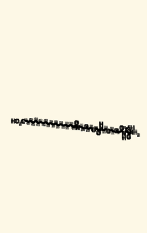 NC(=O)[C@H](CS)NC(=O)COCCOCCNC(=O)COCCOCCNC(=O)CCCCCCCCCCCCCCCCCCCCC(=O)O